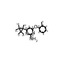 Cc1ccccc1Oc1cc(C2(C)C(C)(C)C2(C)C)nc(N)n1